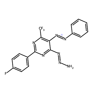 NN=Nc1nc(-c2ccc(F)cc2)nc(C(F)(F)F)c1/N=N/c1ccccc1